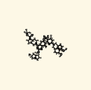 COc1ccc(CN(Cc2ccc(OC)cc2)c2cc(C)c(C(F)(F)F)c(-c3c(Cl)cc4c(N5CCC6C(CCN6C(=O)OC(C)(C)C)C5)nc(OC[C@]56CCCN5C[C@H](F)C6)nc4c3F)n2)cc1